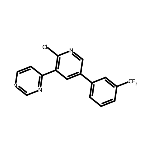 FC(F)(F)c1cccc(-c2cnc(Cl)c(-c3ccncn3)c2)c1